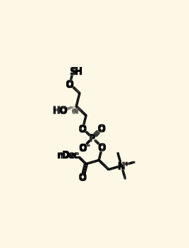 CCCCCCCCCCC(=O)C(C[N+](C)(C)C)OP(=O)([O-])OC[C@H](O)COS